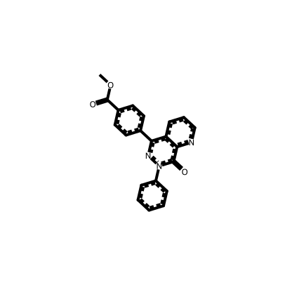 COC(=O)c1ccc(-c2nn(-c3ccccc3)c(=O)c3ncccc23)cc1